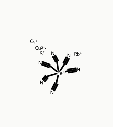 N#[C][Fe-4]([C]#N)([C]#N)([C]#N)([C]#N)[C]#N.[Cs+].[Cu+2].[K+].[Rb+]